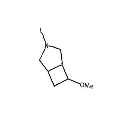 COC1CC2CN(I)CC21